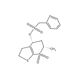 C[C@H]1C[C@@H](OS(=O)(=O)Cc2ccccc2)C2=C(SCC2)S1(=O)=O